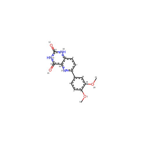 COc1ccc(-c2ccc3[nH]c(=O)[nH]c(=O)c3n2)cc1OC